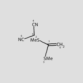 C=C(SC)SC.N#CCC#N